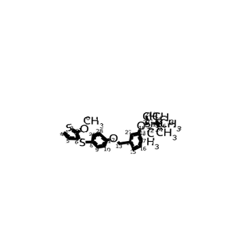 COc1sccc1Sc1ccc(OCc2cccc(O[Si](C)(C)C(C)(C)C)c2)cc1